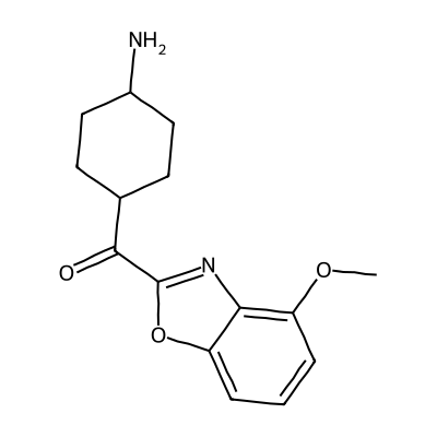 COc1cccc2oc(C(=O)C3CCC(N)CC3)nc12